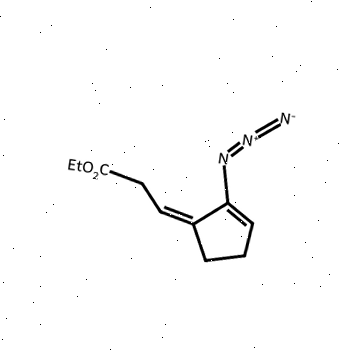 CCOC(=O)C/C=C1/CCC=C1N=[N+]=[N-]